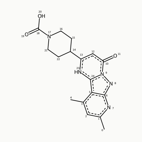 Cc1cc(C)c2c(n1)nn1c(=O)cc(C3CCN(C(=O)O)CC3)[nH]c21